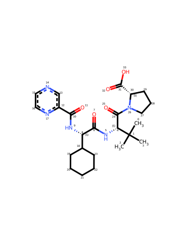 CC(C)(C)[C@H](NC(=O)[C@@H](NC(=O)c1cnccn1)C1CCCCC1)C(=O)N1CCC[C@H]1C(=O)O